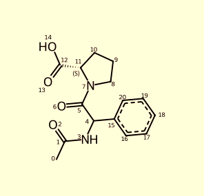 CC(=O)NC(C(=O)N1CCC[C@H]1C(=O)O)c1ccccc1